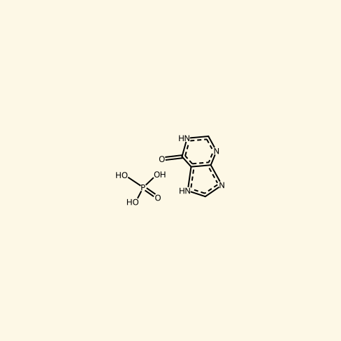 O=P(O)(O)O.O=c1[nH]cnc2nc[nH]c12